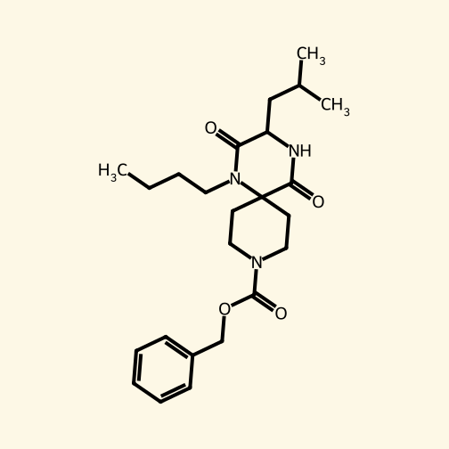 CCCCN1C(=O)C(CC(C)C)NC(=O)C12CCN(C(=O)OCc1ccccc1)CC2